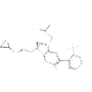 CC(C)Cn1cc(CNSC2CC2)c2cc(F)c(-c3ccccc3C(F)(F)F)cc21